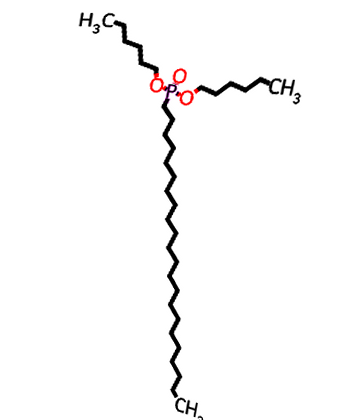 CCCCCCCCCCCCCCCCCCCCCCP(=O)(OCCCCCC)OCCCCCC